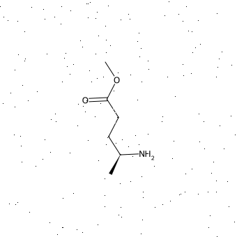 COC(=O)CC[C@H](C)N